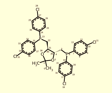 CC1(C)O[C@@H](CP(c2ccc(Cl)cc2)c2ccc(Cl)cc2)[C@H](CP(c2ccc(Cl)cc2)c2ccc(Cl)cc2)O1